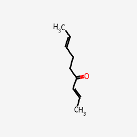 C/C=C/CCC(=O)/C=C/C